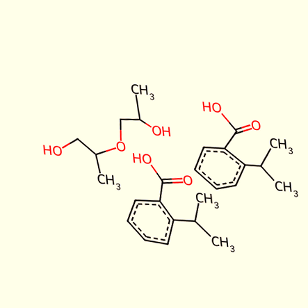 CC(C)c1ccccc1C(=O)O.CC(C)c1ccccc1C(=O)O.CC(O)COC(C)CO